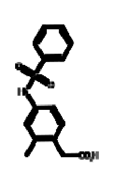 Cc1cc(NS(=O)(=O)c2ccccc2)ccc1CC(=O)O